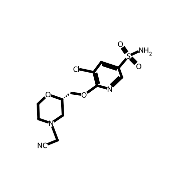 N#CCN1CCO[C@H](COc2ncc(S(N)(=O)=O)cc2Cl)C1